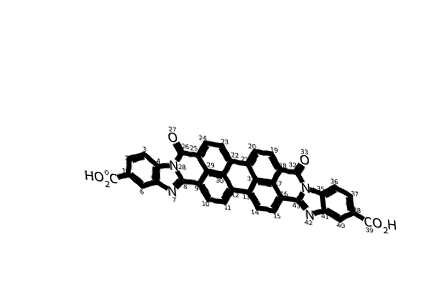 O=C(O)c1ccc2c(c1)nc1c3ccc4c5ccc6c7c(ccc(c8ccc(c(=O)n21)c3c84)c57)c(=O)n1c2ccc(C(=O)O)cc2nc61